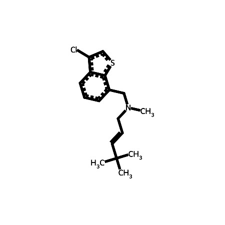 CN(C/C=C/C(C)(C)C)Cc1cccc2c(Cl)csc12